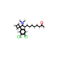 CC(=O)CCCCCCCC(N(C)C)C1(c2ccc(Cl)c(Cl)c2)CCC1